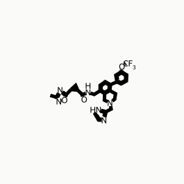 Cc1noc(C2CC2C(=O)NCc2ccc(-c3cccc(OC(F)(F)F)c3)c3c2CN(Cc2ncc[nH]2)CC3)n1